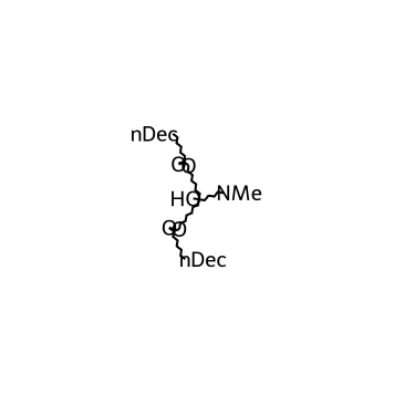 CCCCCCCCCCCCCCCC(=O)OCCCCCCC(O)(CCCCCCOC(=O)CCCCCCCCCCCCCCC)CCCCNC